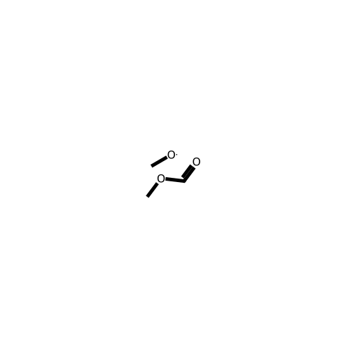 COC=O.C[O]